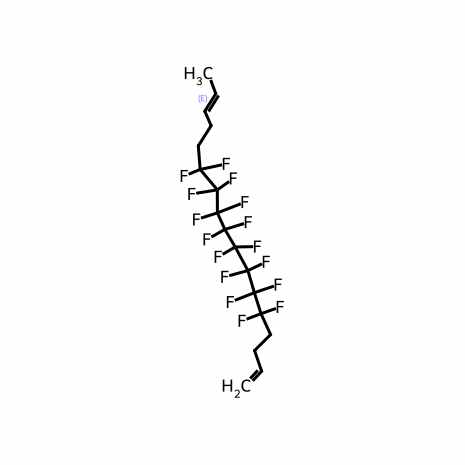 C=CCCC(F)(F)C(F)(F)C(F)(F)C(F)(F)C(F)(F)C(F)(F)C(F)(F)C(F)(F)CC/C=C/C